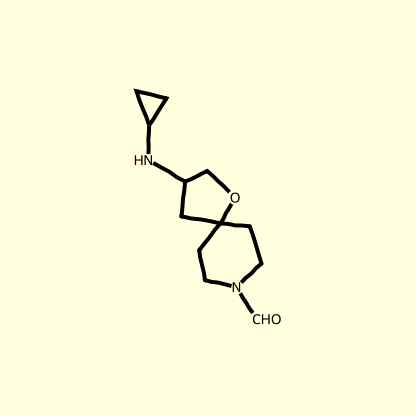 O=CN1CCC2(CC1)CC(NC1CC1)CO2